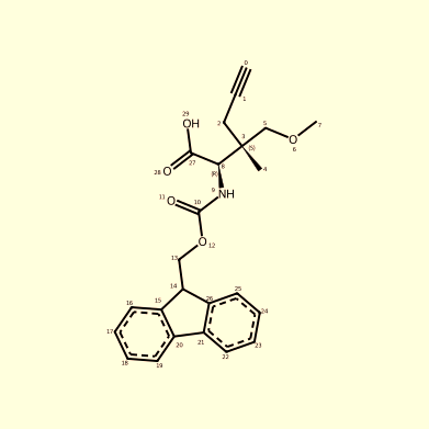 C#CC[C@](C)(COC)[C@@H](NC(=O)OCC1c2ccccc2-c2ccccc21)C(=O)O